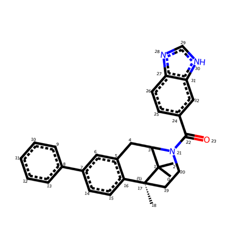 CC1(C)C2Cc3cc(-c4ccccc4)ccc3[C@]1(C)CCN2C(=O)c1ccc2nc[nH]c2c1